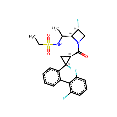 CCS(=O)(=O)NC(C)[C@@H]1[C@H](F)CN1C(=O)[C@@H]1C[C@@]1(F)c1ccccc1-c1c(F)cccc1F